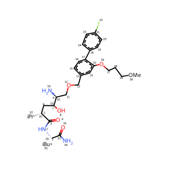 CC[C@H](C)[C@H](NC(=O)[C@@H](C[C@H](O)[C@@H](N)COCc1ccc(-c2ccc(F)cc2)c(OCCCOC)c1)C(C)C)C(N)=O